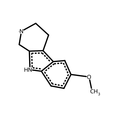 COc1ccc2[nH]c3c(c2c1)CC[N]C3